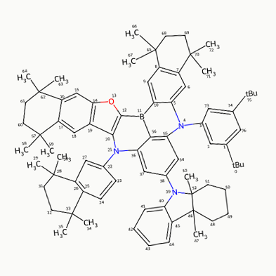 CC(C)(C)c1cc(N2c3cc4c(cc3B3c5oc6cc7c(cc6c5N(c5ccc6c(c5)C(C)(C)CCC6(C)C)c5cc(N6c8ccccc8C8(C)CCCCC68C)cc2c53)C(C)(C)CCC7(C)C)C(C)(C)CCC4(C)C)cc(C(C)(C)C)c1